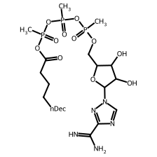 CCCCCCCCCCCCCC(=O)OP(C)(=O)OP(C)(=O)OP(C)(=O)OCC1OC(n2cnc(C(=N)N)n2)C(O)C1O